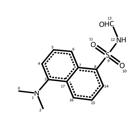 CN(C)c1cccc2c(S(=O)(=O)NC=O)cccc12